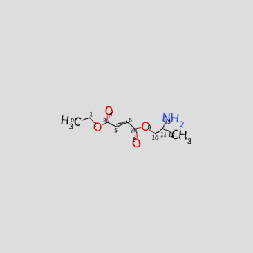 CCOC(=O)C=CC(=O)OCC(C)N